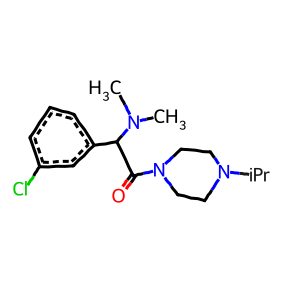 CC(C)N1CCN(C(=O)C(c2cccc(Cl)c2)N(C)C)CC1